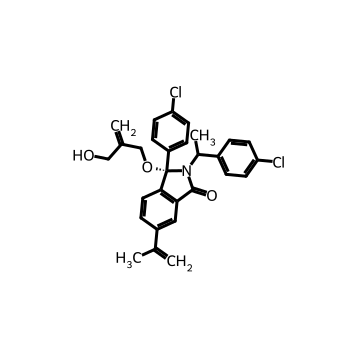 C=C(CO)CO[C@@]1(c2ccc(Cl)cc2)c2ccc(C(=C)C)cc2C(=O)N1C(C)c1ccc(Cl)cc1